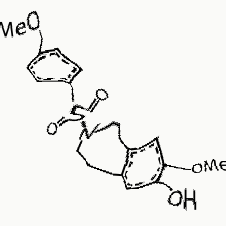 COc1ccc(S(=O)(=O)N2CCc3cc(O)c(OC)cc3C2)cc1